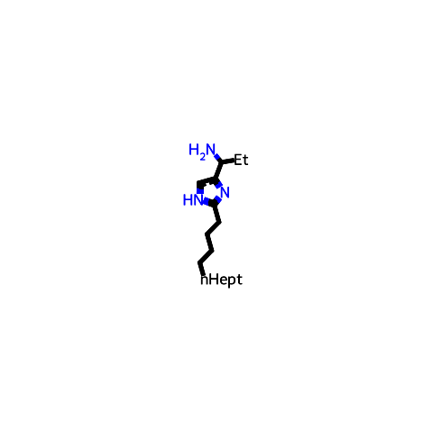 CCCCCCCCCCCc1nc(C(N)CC)c[nH]1